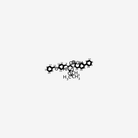 CC(C)(C)OC(=O)N[C@@H](Cc1ccc(OCc2ccccc2)cc1)[C@@H](O)C[C@@H](Cc1ccc(-c2ccccc2)cc1)C(=O)O